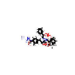 CC(CCc1ccc(C(N)=O)cc1)N(CC(O)c1ccccc1)CC(O)c1ccccc1